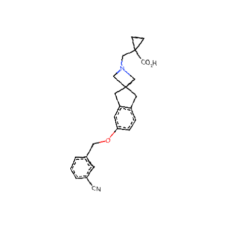 N#Cc1cccc(COc2ccc3c(c2)CC2(C3)CN(CC3(C(=O)O)CC3)C2)c1